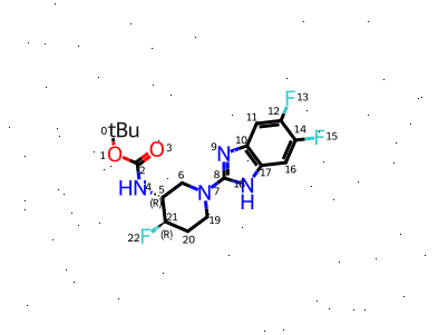 CC(C)(C)OC(=O)N[C@@H]1CN(c2nc3cc(F)c(F)cc3[nH]2)CC[C@H]1F